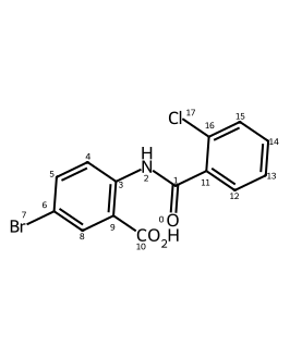 O=C(Nc1ccc(Br)cc1C(=O)O)c1ccccc1Cl